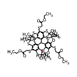 CCOC(=O)CSc1c2c(c([C](c3c4c(c(SCC(=O)OCC)c5c3SC(C)(C)S5)SC(C)(C)S4)c3c4c(c(SCC(=O)OCC)c5c3SC(C)(C)S5)SC(C)(C)S4)c3c1OC(C)(C)O3)OC(C)(C)O2